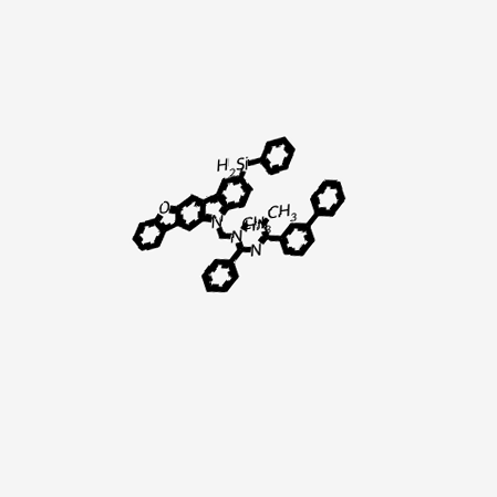 CN/C(=N\C(c1ccccc1)N(C)Cn1c2ccc([SiH2]c3ccccc3)cc2c2cc3oc4ccccc4c3cc21)c1cccc(-c2ccccc2)c1